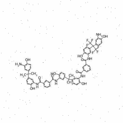 CC(C)(c1ccc(O)c(N)c1)c1ccc(O)c(NC(=O)c2cccc(C(=O)Nc3cc(C(C)(C)c4ccc(O)c(NC(=O)c5cccc(C(=O)Nc6cc(C(c7ccc(O)c(N)c7)(C(F)(F)F)C(F)(F)F)ccc6O)c5)c4)ccc3O)c2)c1